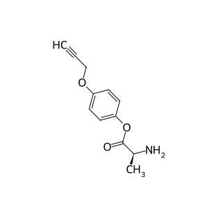 C#CCOc1ccc(OC(=O)[C@H](C)N)cc1